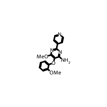 COc1ccccc1Oc1c(N)nc(-c2ccncc2)nc1OC